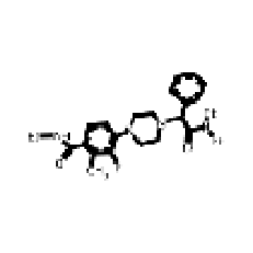 CCNC(=O)c1ccc(N2CCN(C(C(=O)N(CC)CC)c3ccccc3)CC2)c(F)c1C